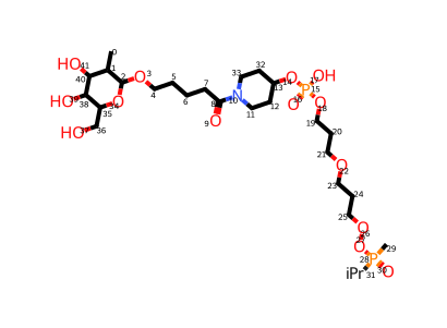 CC1C(OCCCCC(=O)N2CCC(OP(=O)(O)OCCCOCCCOOP(C)(=O)C(C)C)CC2)OC(CO)C(O)C1O